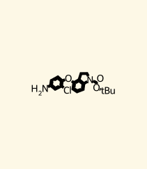 CC(C)(C)OC(=O)N1CCc2c(Oc3ccc(N)cc3Cl)cccc21